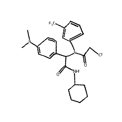 CN(C)c1ccc(C(C(=O)NC2CCCCC2)N(C(=O)CCl)c2cccc(C(F)(F)F)c2)cc1